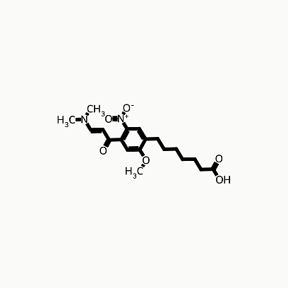 COc1cc(C(=O)/C=C/N(C)C)c([N+](=O)[O-])cc1CCCCCCC(=O)O